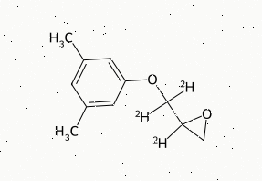 [2H]C([2H])(Oc1cc(C)cc(C)c1)C1([2H])CO1